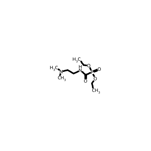 CCOP(=O)(OCC)C(=O)NCCN(C)C